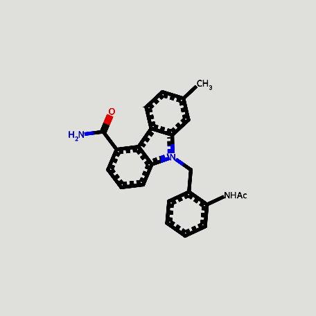 CC(=O)Nc1ccccc1Cn1c2cc(C)c[c]c2c2c(C(N)=O)cccc21